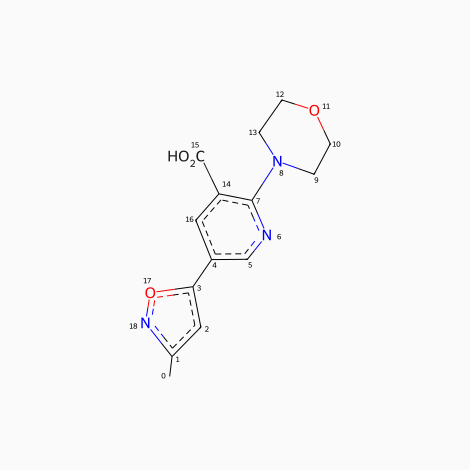 Cc1cc(-c2cnc(N3CCOCC3)c(C(=O)O)c2)on1